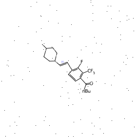 CCCCC(=O)c1ccc(/C=C/C2CCC(C)CC2)c(F)c1C(F)(F)F